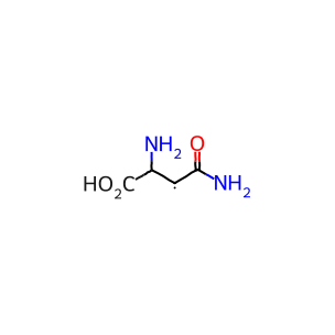 NC(=O)[CH]C(N)C(=O)O